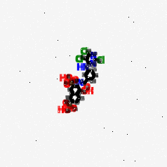 O=C(Nc1c(S(=O)(=O)O)cc2cc(S(=O)(=O)O)ccc2c1O)c1cccc(Nc2nc(Cl)nc(Cl)c2Cl)c1